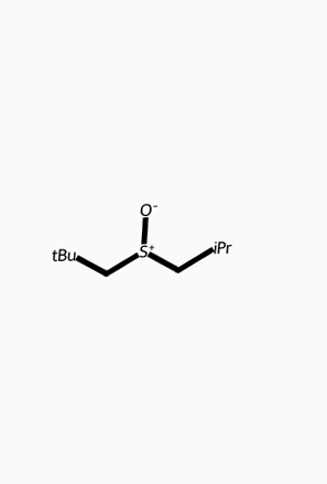 CC(C)C[S+]([O-])CC(C)(C)C